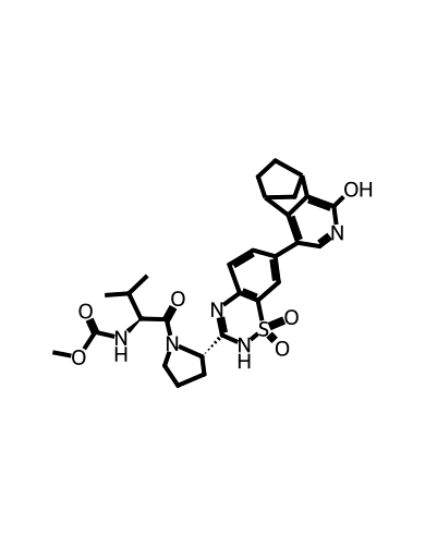 COC(=O)N[C@H](C(=O)N1CCC[C@H]1C1=Nc2ccc(-c3cnc(O)c4c3C3CCC4C3)cc2S(=O)(=O)N1)C(C)C